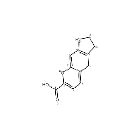 O=C(O)C1=CC=C2CC3=C(C=C2O1)NCC3